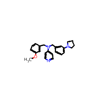 COc1cccc(CN(Cc2cccc(N3CCCC3)c2)c2ccncc2)c1